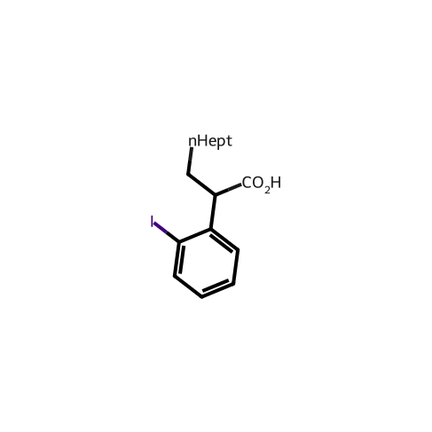 CCCCCCCCC(C(=O)O)c1ccccc1I